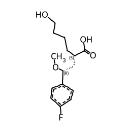 CO[C@H](C[C@H](CCCCO)C(=O)O)c1ccc(F)cc1